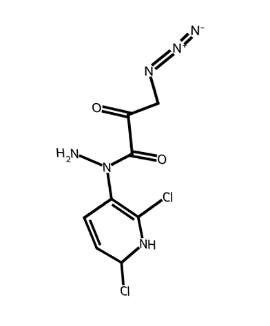 [N-]=[N+]=NCC(=O)C(=O)N(N)C1=C(Cl)NC(Cl)C=C1